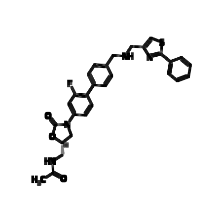 CC(=O)NC[C@H]1CN(c2ccc(-c3ccc(CNCc4csc(-c5ccccc5)n4)cc3)c(F)c2)C(=O)O1